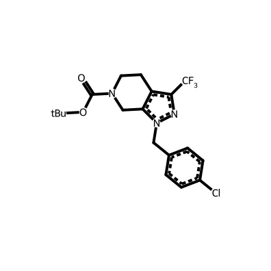 CC(C)(C)OC(=O)N1CCc2c(C(F)(F)F)nn(Cc3ccc(Cl)cc3)c2C1